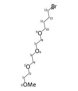 COCCOCCOCCOCCCCBr